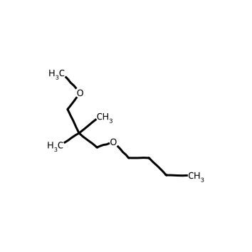 CCCCOCC(C)(C)COC